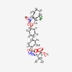 COC(=O)C(NS(=O)(=O)c1ccc(-c2ccc(OCc3c(F)cccc3[N+](=O)[O-])cc2)cc1)C(C)C